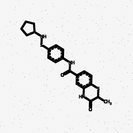 CC1Sc2ccc(C(=O)Nc3ccc(SNC4CCCC4)cc3)cc2NC1=O